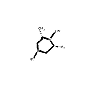 CSN1[C@@H](C)CN(C(C)C)C[C@@H]1C